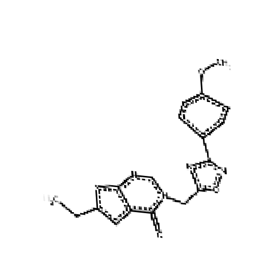 CCc1cc2c(=O)n(Cc3nc(-c4ccc(OC)cc4)no3)cnc2s1